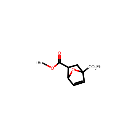 CCOC(=O)C12C=CC(O1)C(C(=O)OC(C)(C)C)C2